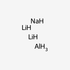 [AlH3].[LiH].[LiH].[NaH]